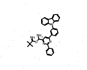 CC(C)(C)C(=N)OC(N)c1cc(-c2cccc(-n3c4ccccc4c4ccccc43)c2)nc(-c2ccccc2)n1